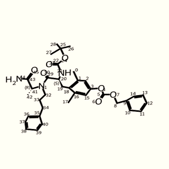 Cc1cc(OC(=O)OCc2ccccc2)cc(C)c1C[C@H](NC(=O)OC(C)(C)C)C(=O)N(CCCc1ccccc1)[C@H](C)C(N)=O